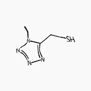 Cn1nnnc1CS